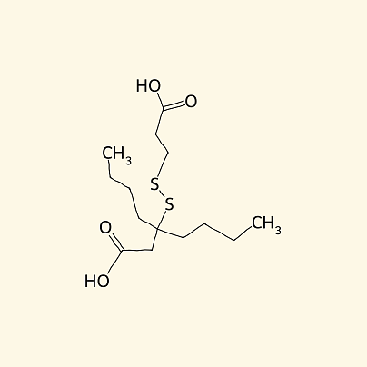 CCCCC(CCCC)(CC(=O)O)SSCCC(=O)O